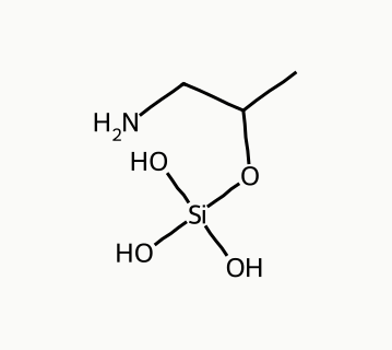 CC(CN)O[Si](O)(O)O